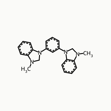 CN1CN(c2cccc(N3CN(C)c4ccccc43)c2)c2ccccc21